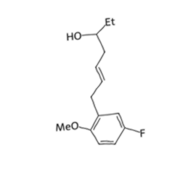 CCC(O)CC=CCc1cc(F)ccc1OC